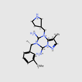 COc1cccc([C@H](C)N2C(N)N(CC3CCNC3)c3c(C(C)C)cnn3C2N)c1